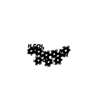 CC1(C)c2ccccc2-c2cc(N(c3ccccc3)c3ccc(-c4ccc(C5=C(c6ccccc6)NC6C=CC=CC6=N5)cc4)c4c3oc3ccccc34)ccc21